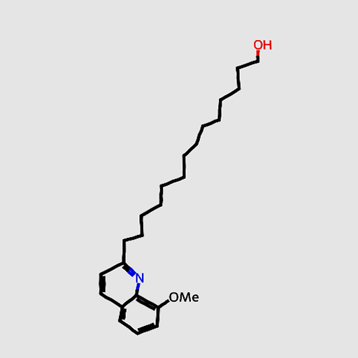 COc1cccc2ccc(CCCCCCCCCCCCCCO)nc12